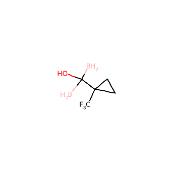 BC(B)(O)C1(C(F)(F)F)CC1